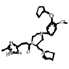 COc1ccc(N2CCN(C(=O)Cc3n[nH]c(C)n3)C(CN3CCCC3)C2)cc1OC1CCCC1